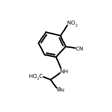 CCC(C)C(Nc1cccc([N+](=O)[O-])c1C#N)C(=O)O